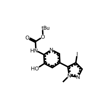 Cn1ncc(I)c1-c1cnc(NC(=O)OC(C)(C)C)c(O)c1